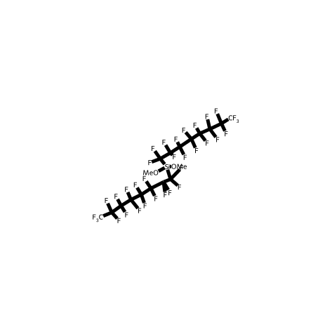 CO[Si](OC)(C(F)(F)C(F)(F)C(F)(F)C(F)(F)C(F)(F)C(F)(F)C(F)(F)C(F)(F)F)C(F)(F)C(F)(F)C(F)(F)C(F)(F)C(F)(F)C(F)(F)C(F)(F)C(F)(F)F